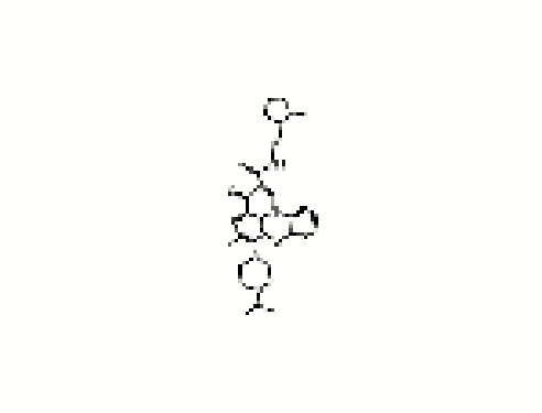 CC(C)N1CCN(c2c(F)cc3c(=O)c(C(=O)NCCC4CCCN4C)cn4c3c2Oc2ccccc2-4)CC1